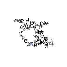 CC(=O)O[C@@H]1C[C@H]2C(=O)N[C@]3(C(=O)NS(=O)(=O)C4CC4)C[C@H]3/C=C\CCCCC[C@H](NC(=O)OC(C)(C)C)C(=O)N2C1